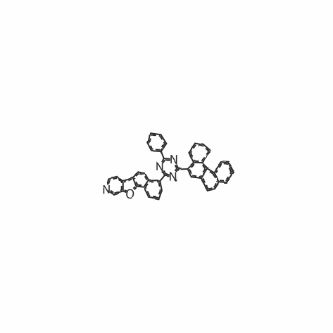 c1ccc(-c2nc(-c3cccc4c3ccc3c5ccncc5oc43)nc(-c3cc4ccc5ccccc5c4c4ccccc34)n2)cc1